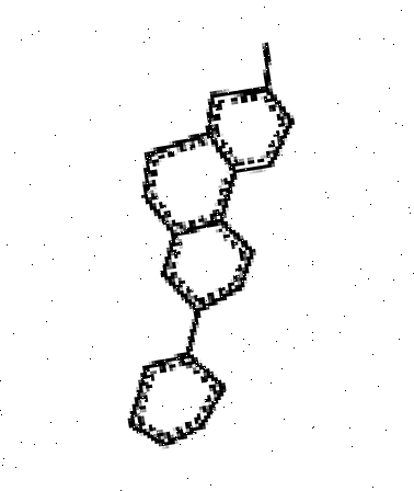 Cc1ccc2c(ccc3cc(-c4ccccc4)ccc32)c1